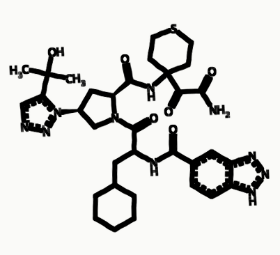 CC(C)(O)c1cnnn1[C@H]1C[C@@H](C(=O)NC2(C(=O)C(N)=O)CCSCC2)N(C(=O)C(CC2CCCCC2)NC(=O)c2ccc3[nH]nnc3c2)C1